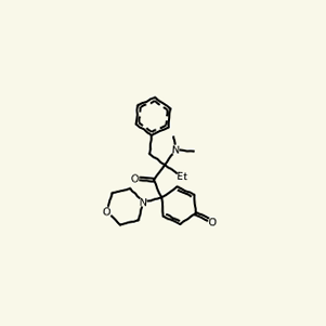 CCC(Cc1ccccc1)(C(=O)C1(N2CCOCC2)C=CC(=O)C=C1)N(C)C